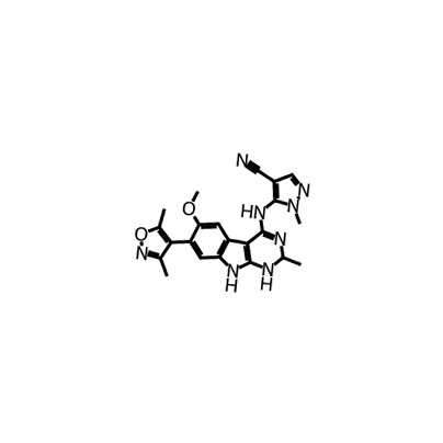 COc1cc2c3c([nH]c2cc1-c1c(C)noc1C)NC(C)N=C3Nc1c(C#N)cnn1C